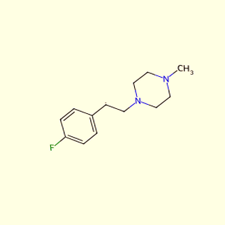 CN1CCN(C[CH]c2ccc(F)cc2)CC1